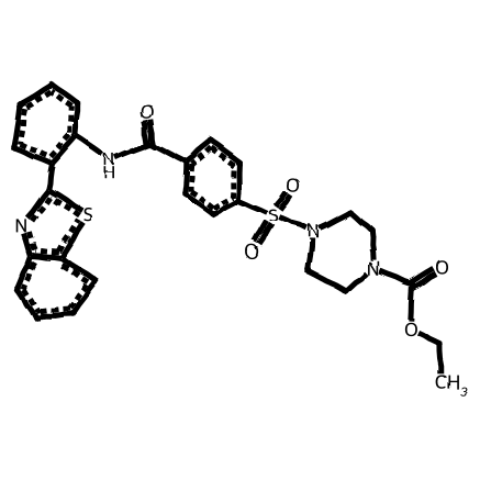 CCOC(=O)N1CCN(S(=O)(=O)c2ccc(C(=O)Nc3ccccc3-c3nc4ccccc4s3)cc2)CC1